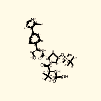 Cc1ncsc1-c1ccc([C@H](CO)NC(=O)[C@@H]2C[C@@H](O[Si](C)(C)C(C)(C)C)CN2C(=O)[C@@H](NC(=O)O)C(C)(C)C)cc1